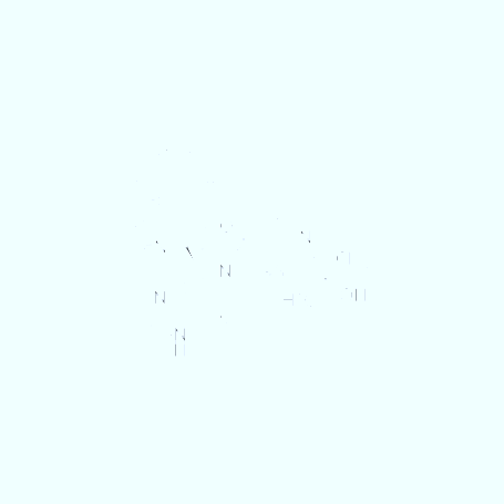 CC(C)(O)c1ncc(C(=O)N2CCc3[nH]cnc3[C@H]2c2cc3ccccc3cn2)s1